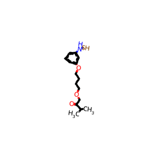 CC(C)C(=O)COCCCCOc1cccc(NS)c1